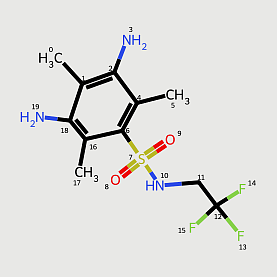 Cc1c(N)c(C)c(S(=O)(=O)NCC(F)(F)F)c(C)c1N